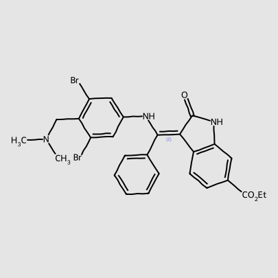 CCOC(=O)c1ccc2c(c1)NC(=O)/C2=C(\Nc1cc(Br)c(CN(C)C)c(Br)c1)c1ccccc1